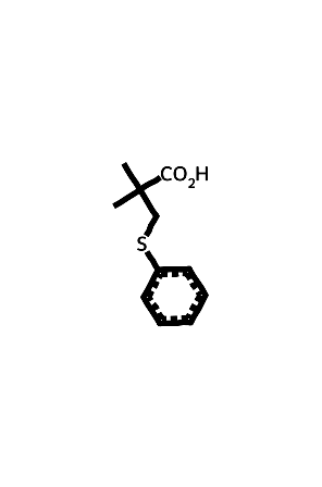 CC(C)(CSc1ccccc1)C(=O)O